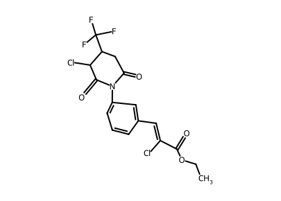 CCOC(=O)C(Cl)=Cc1cccc(N2C(=O)CC(C(F)(F)F)C(Cl)C2=O)c1